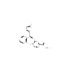 CCCCNC(=O)c1ccc2c(n1)N=C(c1ccc(C)s1)c1cnccc1S2